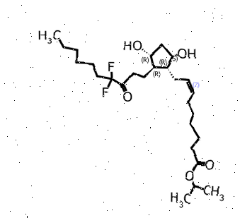 CCCCCCC(F)(F)C(=O)CC[C@@H]1[C@@H](C/C=C\CCCCCC(=O)OC(C)C)[C@@H](O)C[C@H]1O